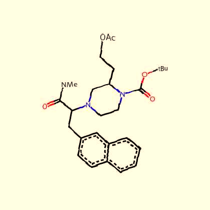 CNC(=O)C(Cc1ccc2ccccc2c1)N1CCN(C(=O)OC(C)(C)C)C(CCOC(C)=O)C1